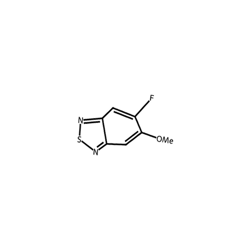 COc1cc2nsnc2cc1F